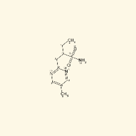 CCC(Cc1ncc(C)cn1)S(N)(=O)=O